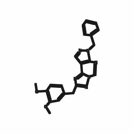 COc1ccc(Cc2nc3c4cnn(Cc5ccccc5)c4ncn3n2)cc1OC